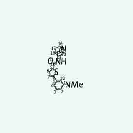 CNc1cccc(-c2ccc(C(=O)NC3CN4CCC3CC4)s2)c1